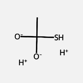 CC([O-])([O-])S.[H+].[H+]